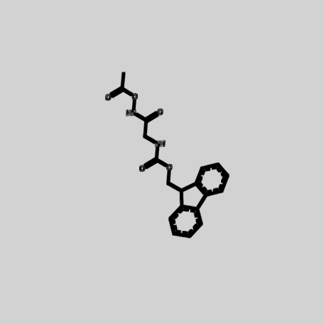 CC(=O)ONC(=O)CNC(=O)OCC1c2ccccc2-c2ccccc21